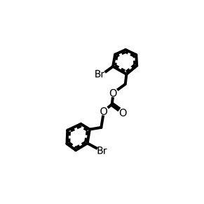 O=C(OCc1ccccc1Br)OCc1ccccc1Br